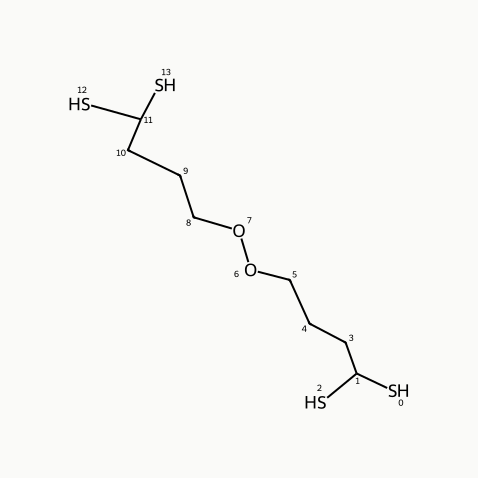 SC(S)CCCOOCCCC(S)S